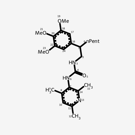 CCCCCC(CNC(=O)Nc1c(C)cc(C)nc1C)c1cc(OC)c(OC)c(OC)c1